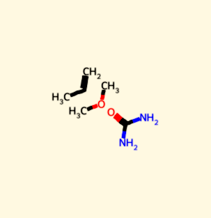 C=CC.COC.NC(N)=O